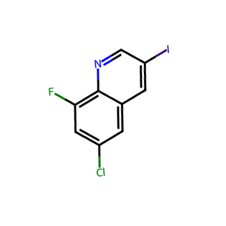 Fc1cc(Cl)cc2cc(I)cnc12